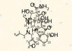 C=CCN(C)Cc1ccoc1-c1ccc(O)c2c1C[C@H]1C[C@H]3[C@H](N(C)C)C(O)C(C(N)=O)C(=O)[C@@]3(O)C(O)=C1C2=O